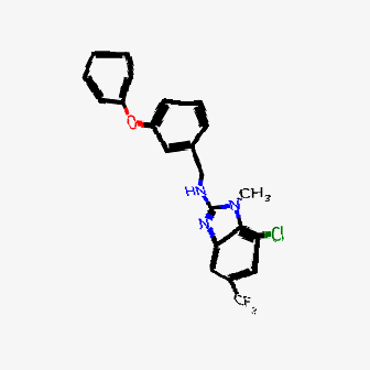 Cn1c(NCc2cccc(Oc3ccccc3)c2)nc2cc(C(F)(F)F)cc(Cl)c21